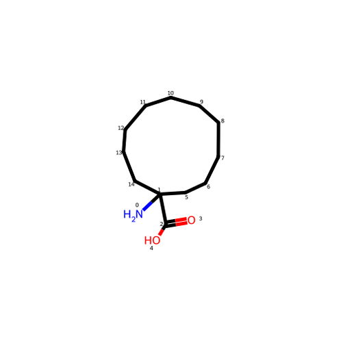 NC1(C(=O)O)CCCCCCCCCC1